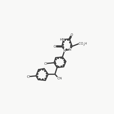 N#CC(c1ccc(Cl)cc1)c1ccc(-n2nc(C(=O)O)c(=O)[nH]c2=O)cc1Cl